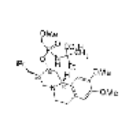 CCC(C)(NP(=O)(COC)O[C@@H]1C[C@@H]2c3cc(OC)c(OC)cc3CCN2C[C@H]1CC(C)C)C(=O)O